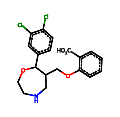 O=C(O)c1ccccc1OCC1CNCCOC1c1ccc(Cl)c(Cl)c1